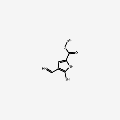 CCCOC(=O)c1cc(C=N)c(S)[nH]1